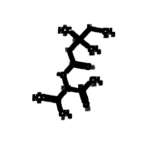 C=C(C)N(OC(=O)CC(C)(C)CC)C(C)=O